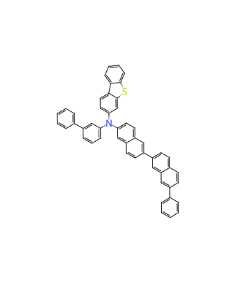 c1ccc(-c2cccc(N(c3ccc4cc(-c5ccc6ccc(-c7ccccc7)cc6c5)ccc4c3)c3ccc4c(c3)sc3ccccc34)c2)cc1